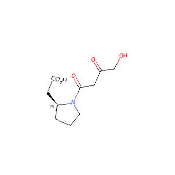 O=C(O)C[C@@H]1CCCN1C(=O)CC(=O)CO